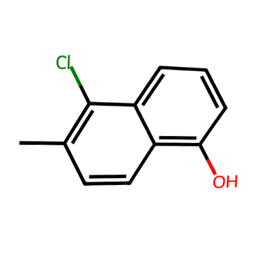 Cc1ccc2c(O)cccc2c1Cl